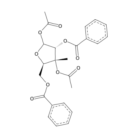 CC(=O)OC1O[C@H](COC(=O)c2ccccc2)[C@@](C)(OC(C)=O)[C@H]1OC(=O)c1ccccc1